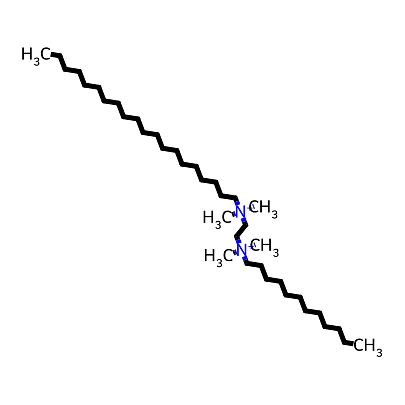 CCCCCCCCCCCCCCCCCCCC[N+](C)(C)CC[N+](C)(C)CCCCCCCCCCCC